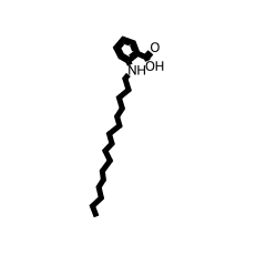 CCCCCCCCCCCCCCCCNc1ccccc1C(=O)O